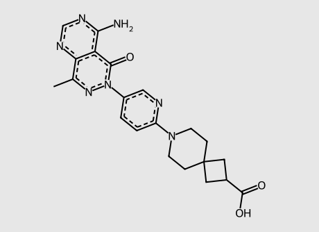 Cc1nn(-c2ccc(N3CCC4(CC3)CC(C(=O)O)C4)nc2)c(=O)c2c(N)ncnc12